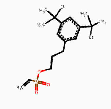 C=CS(=O)(=O)OCCCc1cc(C(C)(C)CC)cc(C(C)(C)CC)c1